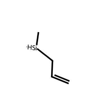 C=CC[SiH]C